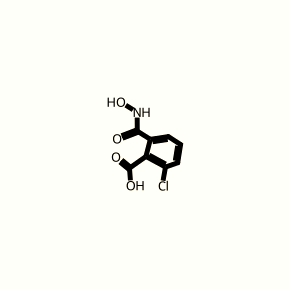 O=C(NO)c1cccc(Cl)c1C(=O)O